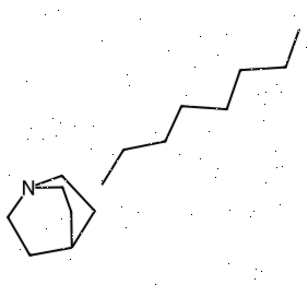 C1CN2CCC1CC2.CCCCCCCC